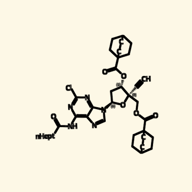 C#C[C@]1(COC(=O)C23CCC(CC2)CC3)O[C@@H](n2cnc3c(NC(=O)CCCCCCC)nc(Cl)nc32)C[C@@H]1OC(=O)C12CCC(CC1)CC2